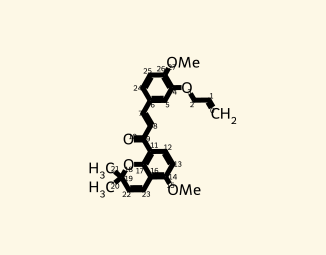 C=CCOc1cc(/C=C/C(=O)c2ccc(OC)c3c2OC(C)(C)C=C3)ccc1OC